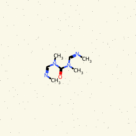 C/N=C\N(C)C(=O)N(C)/C=N\C